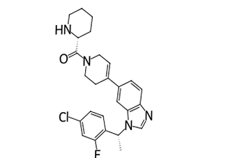 C[C@H](c1ccc(Cl)cc1F)n1cnc2ccc(C3=CCN(C(=O)[C@H]4CCCCN4)CC3)cc21